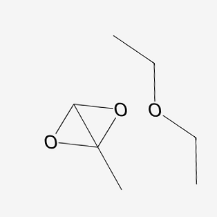 CC12OC1O2.CCOCC